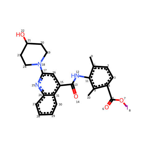 Cc1ccc(C(=O)OI)c(C)c1NC(=O)c1cc(N2CCC(O)CC2)nc2ccccc12